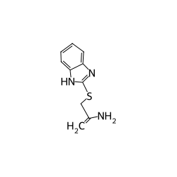 C=C(N)CSc1nc2ccccc2[nH]1